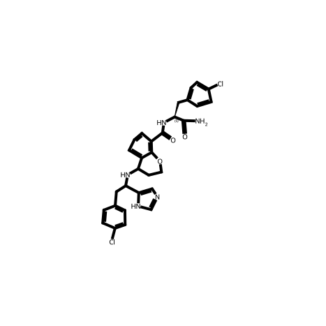 NC(=O)[C@H](Cc1ccc(Cl)cc1)NC(=O)c1cccc2c1OCCC2NC(Cc1ccc(Cl)cc1)c1cnc[nH]1